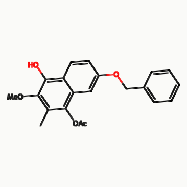 COc1c(C)c(OC(C)=O)c2cc(OCc3ccccc3)ccc2c1O